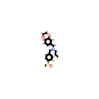 CCCN(Cc1ccc([S+](C)[O-])cc1)Cc1ccc2c(c1)OCCO2